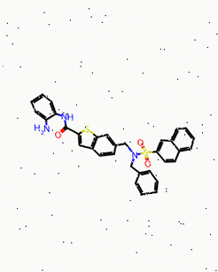 Nc1ccccc1NC(=O)c1cc2ccc(CN(Cc3ccccc3)S(=O)(=O)c3ccc4ccccc4c3)cc2s1